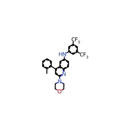 Cc1ccccc1-c1cc(N2CCOCC2)nc2ccc(Nc3cc(C(F)(F)F)cc(C(F)(F)F)c3)cc12